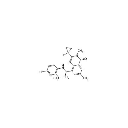 Cc1cc([C@@H](C)Nc2ccc(Cl)nc2C(=O)O)c2nc(C3(F)CC3)n(C)c(=O)c2c1